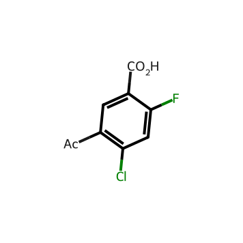 CC(=O)c1cc(C(=O)O)c(F)cc1Cl